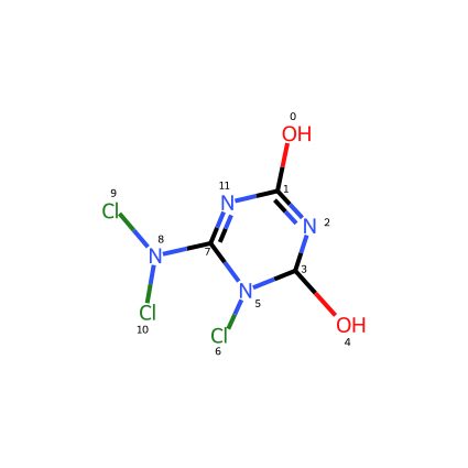 OC1=NC(O)N(Cl)C(N(Cl)Cl)=N1